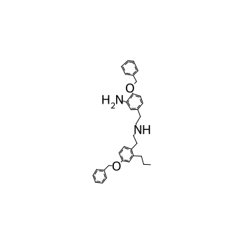 CCCc1cc(OCc2ccccc2)ccc1CCNCCc1ccc(OCc2ccccc2)c(N)c1